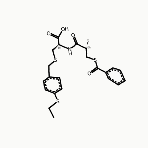 CCSc1ccc(CSC[C@H](NC(=O)[C@H](C)CSC(=O)c2ccccc2)C(=O)O)cc1